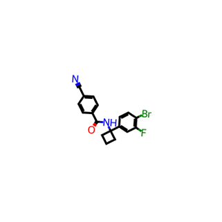 N#Cc1ccc(C(=O)NC2(c3ccc(Br)c(F)c3)CCC2)cc1